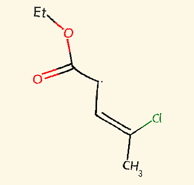 CCOC(=O)[CH]C=C(C)Cl